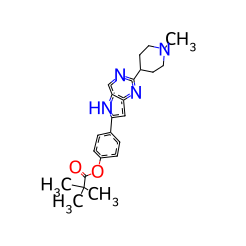 CN1CCC(c2ncc3[nH]c(-c4ccc(OC(=O)C(C)(C)C)cc4)cc3n2)CC1